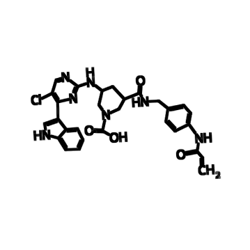 C=CC(=O)Nc1ccc(CNC(=O)C2CC(Nc3ncc(Cl)c(-c4c[nH]c5ccccc45)n3)CN(C(=O)O)C2)cc1